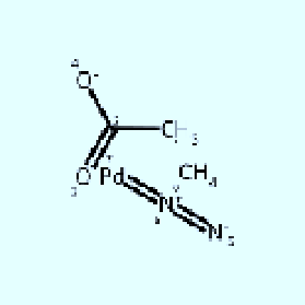 C.CC(=O)[O-].[N-]=[N+]=[Pd]